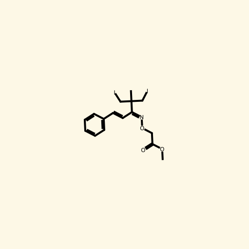 COC(=O)CO/N=C(\C=C\c1ccccc1)C(C)(CI)CI